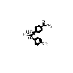 C=C(Nc1ccc(C)cc1)C(F)(P)c1ccc(C(C)=O)cc1